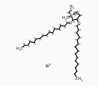 CCCCCCCCCCCCCCCCOC(CO)C(OCCCCCCCCCCCCCCCC)[N+](C)(C)CC.[Br-]